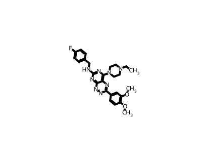 CCN1CCN(c2nc(NCc3ccc(F)cc3)nc3nnc(-c4ccc(OC)c(OC)c4)nc23)CC1